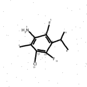 Cc1c(N)c(F)c(C(C)C)c(F)c1Cl